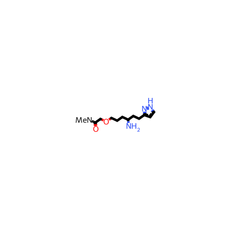 CNC(=O)COCCCC(N)CCc1cc[nH]n1